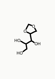 OCC(O)C(O)C1COCO1